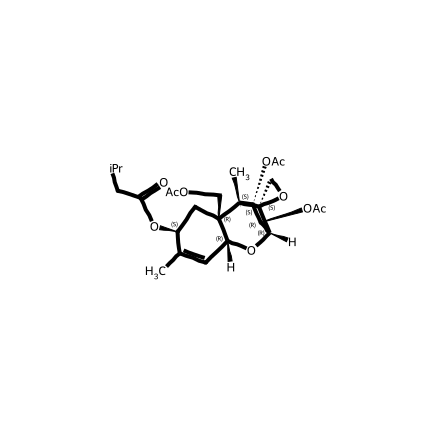 CC(=O)OC[C@]12C[C@H](OC(=O)CC(C)C)C(C)=C[C@H]1O[C@@H]1[C@H](OC(C)=O)[C@@H](OC(C)=O)[C@@]2(C)[C@]12CO2